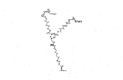 CCCCCC1OC1C/C=C/CCCCCCCC(=O)OCC(COC(=O)CCCCCCCC1OC1CC1OC1CCCCC)OC(=O)CCCCCCC/C=C/CC1OC1CCCCC